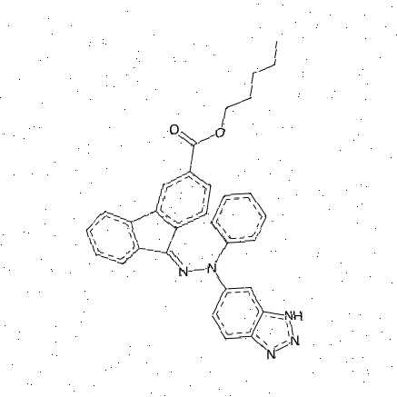 CCCCCOC(=O)c1ccc2c(c1)-c1ccccc1/C2=N/N(c1ccccc1)c1ccc2nn[nH]c2c1